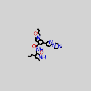 C=CC(=O)Cn1ccc2c(C(=O)NCc3c(CCC)cc(C)[nH]c3=O)cc(-c3ccc(N4CCN(C)CC4)nc3)cc21